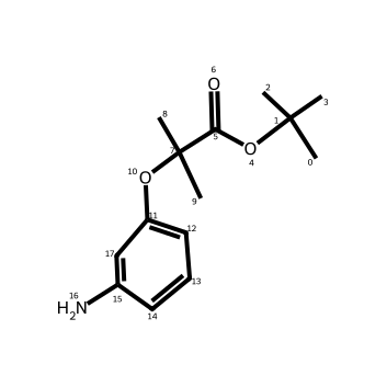 CC(C)(C)OC(=O)C(C)(C)Oc1cccc(N)c1